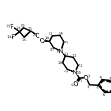 O=C(OCc1ccccc1)N1CCC(N2CCCC(OCC3CC(F)(F)C3)C2)CC1